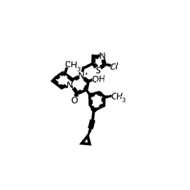 Cc1cc(C#CC2CC2)cc(-c2c(O)[n+](Cc3cnc(Cl)s3)c3c(C)cccn3c2=O)c1